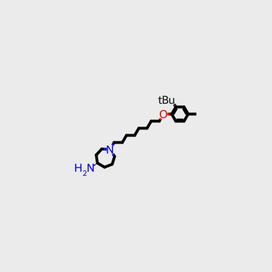 Cc1ccc(OCCCCCCCCN2CCC[C@H](N)CC2)c(C(C)(C)C)c1